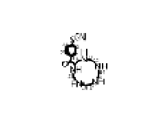 N#CSc1ccc(C(=O)C2CNCCNCCNCCNCCN2)cc1